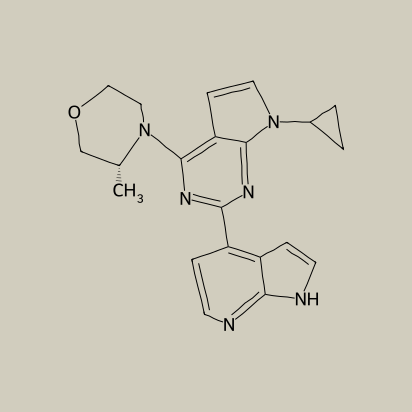 C[C@@H]1COCCN1c1nc(-c2ccnc3[nH]ccc23)nc2c1ccn2C1CC1